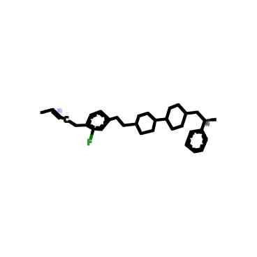 C/C=C/CCc1ccc(CCC2CCC(C3CCC(C[C@@H](C)c4ccccc4)CC3)CC2)cc1F